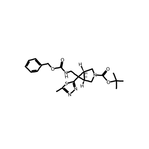 Cc1nnc(C2(CNC(=O)OCc3ccccc3)[C@@H]3CN(C(=O)OC(C)(C)C)C[C@@H]32)s1